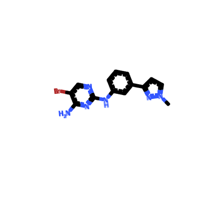 Cn1ccc(-c2cccc(Nc3ncc(Br)c(N)n3)c2)n1